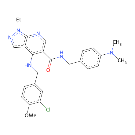 CCn1ncc2c(NCc3ccc(OC)c(Cl)c3)c(C(=O)NCc3ccc(N(C)C)cc3)cnc21